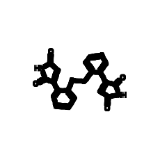 O=C1C=C(c2ccccc2CCc2ccccc2C2=CC(=O)NC2=O)C(=O)N1